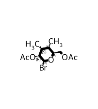 CC(=O)OC[C@H]1O[C@@H](Br)[C@H](OC(C)=O)[C@@H](C)[C@@H]1C